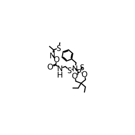 CCC1(CC)COP(=S)(N(Cc2ccccc2)SCNC(=O)ON=C(C)SC)OC1